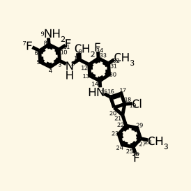 C=C(Nc1ccc(F)c(N)c1F)c1cc(NC2=CC3(Cl)C2C3c2ccc(F)c(C)c2)cc(C)c1F